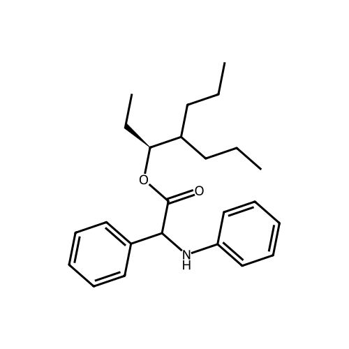 CCCC(CCC)[C@H](CC)OC(=O)C(Nc1ccccc1)c1ccccc1